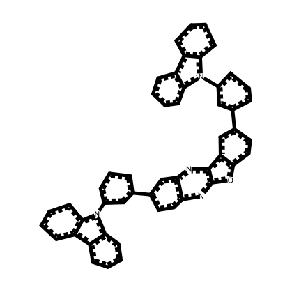 c1cc(-c2ccc3nc4oc5ccc(-c6cccc(-n7c8ccccc8c8ccccc87)c6)cc5c4nc3c2)cc(-n2c3ccccc3c3ccccc32)c1